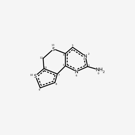 Nc1ncc2c(n1)-c1ccsc1CS2